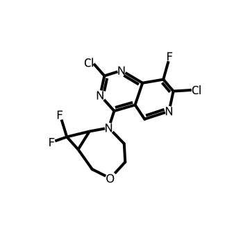 Fc1c(Cl)ncc2c(N3CCOCC4C3C4(F)F)nc(Cl)nc12